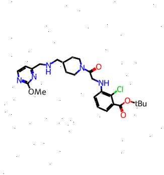 COc1nccc(CNCC2CCN(C(=O)CNc3cccc(C(=O)OC(C)(C)C)c3Cl)CC2)n1